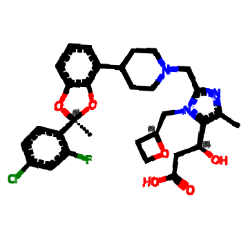 Cc1nc(CN2CCC(c3cccc4c3O[C@@](C)(c3ccc(Cl)cc3F)O4)CC2)n(C[C@@H]2CCO2)c1[C@@H](O)CC(=O)O